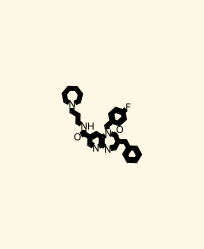 O=C(NCCCN1CCCCCC1)c1cnc2c(c1)N(Cc1ccc(F)cc1)C(=O)C(Cc1ccccc1)C=N2